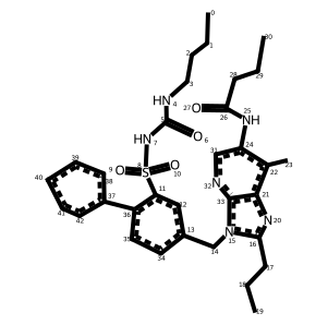 CCCCNC(=O)NS(=O)(=O)c1cc(Cn2c(CCC)nc3c(C)c(NC(=O)CCC)cnc32)ccc1-c1ccccc1